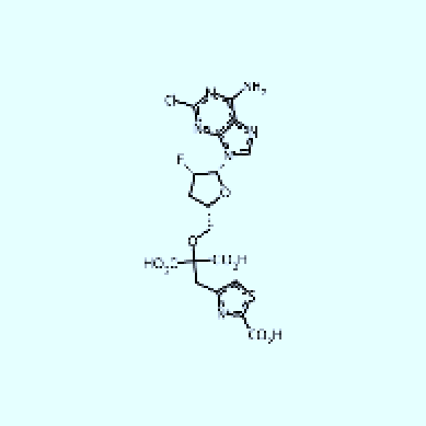 Nc1nc(Cl)nc2c1ncn2[C@@H]1O[C@H](COC(Cc2csc(C(=O)O)n2)(C(=O)O)C(=O)O)C[C@@H]1F